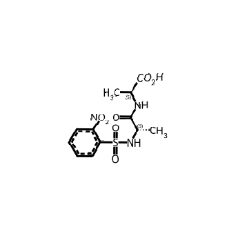 C[C@H](NC(=O)[C@H](C)NS(=O)(=O)c1ccccc1[N+](=O)[O-])C(=O)O